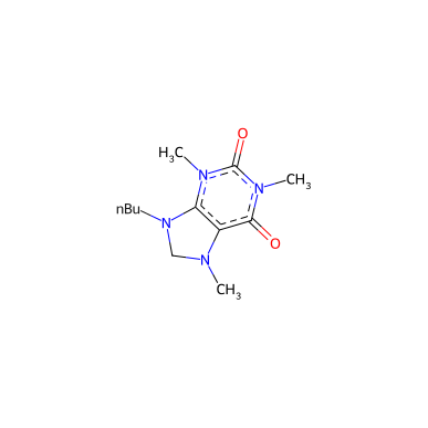 CCCCN1CN(C)c2c1n(C)c(=O)n(C)c2=O